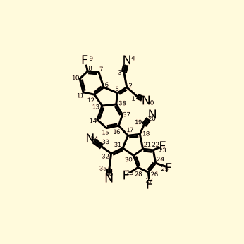 N#CC(C#N)=C1c2cc(F)ccc2-c2ccc(C3=C(C#N)c4c(F)c(F)c(F)c(F)c4C3=C(C#N)C#N)cc21